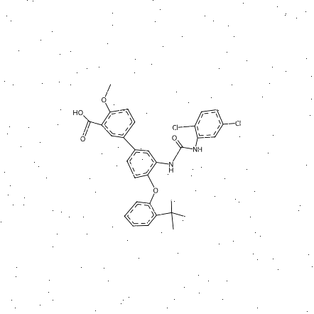 COc1ccc(-c2ccc(Oc3ccccc3C(C)(C)C)c(NC(=O)Nc3cc(Cl)ccc3Cl)c2)cc1C(=O)O